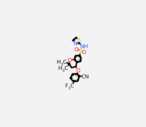 CC1(C)CC(Oc2ccc(C(F)(F)F)cc2C#N)c2ccc(S(=O)(=O)Nc3nccs3)cc2O1